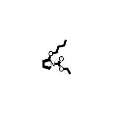 CCCCOc1cccn1C(=O)OCC